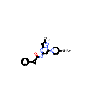 CC(=O)NC1CCN(c2cc(NC(=O)C3CC3c3ccccc3)nc3cc(C)nn23)CC1